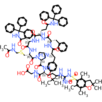 CC(=O)NCSC[C@H](NC(=O)[C@H](CC(=O)NC(c1ccccc1)(c1ccccc1)c1ccccc1)NC(=O)[C@H](CCC(=O)NC(c1ccccc1)(c1ccccc1)c1ccccc1)NC(=O)[C@H](Cc1ccccc1)NC(=O)[C@@H](N)Cc1ccc(OC(C)(C)C)cc1)C(=O)N1CCC[C@H]1C(=O)N[C@@H](CCCNC(=N)NS(=O)(=O)c1c(C)c(C)c2c(c1C)CC(C)(C)O2)C(=O)NCC(=O)O